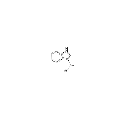 CC(Br)c1c[nH]c2ccccc12